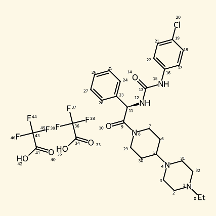 CCN1CCN(C2CCN(C(=O)[C@H](NC(=O)Nc3ccc(Cl)cc3)c3ccccc3)CC2)CC1.O=C(O)C(F)(F)F.O=C(O)C(F)(F)F